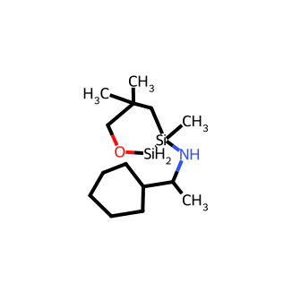 CC(N[Si]1(C)CC(C)(C)CO[SiH2]1)C1CCCCC1